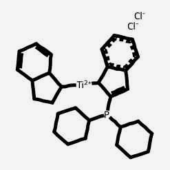 C1=CC2CC[CH]([Ti+2][CH]3C(P(C4CCCCC4)C4CCCCC4)=Cc4ccccc43)C2C=C1.[Cl-].[Cl-]